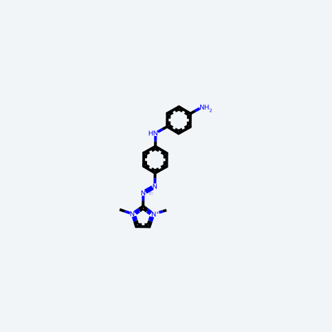 Cn1cc[n+](C)c1/N=N/c1ccc(Nc2ccc(N)cc2)cc1